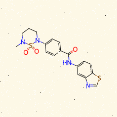 CN1CCCN(c2ccc(C(=O)Nc3ccc4scnc4c3)cc2)S1(=O)=O